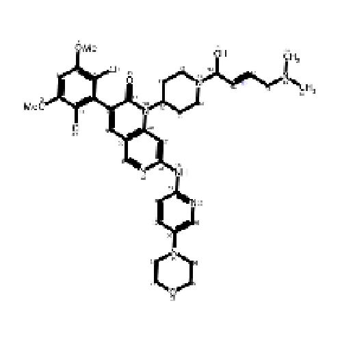 COc1cc(OC)c(Cl)c(-c2cc3cnc(Nc4ccc(N5CCOCC5)cn4)cc3n(C3CCN(C(O)/C=C/CN(C)C)CC3)c2=O)c1Cl